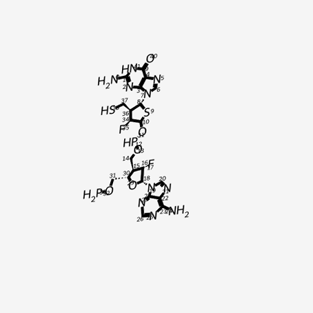 Nc1nc2c(ncn2[C@@H]2SC(OPOC[C@H]3[C@H](F)[C@H](n4cnc5c(N)ncnc54)O[C@@H]3COP)[C@@H](F)[C@H]2CS)c(=O)[nH]1